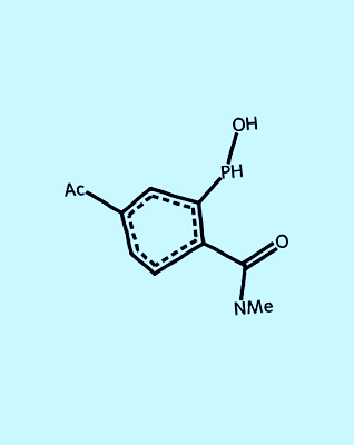 CNC(=O)c1ccc(C(C)=O)cc1PO